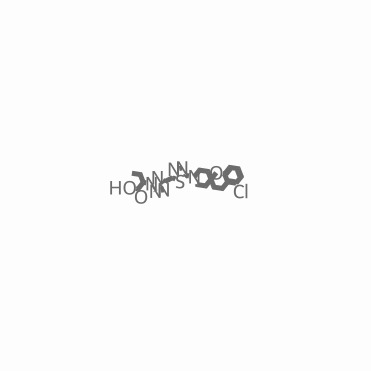 CCC(C(=O)O)n1nnc(-c2nnc(N3CCC4(CCc5c(Cl)cccc5O4)CC3)s2)n1